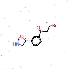 O=C(CCBr)c1cccc(C2CNCO2)c1